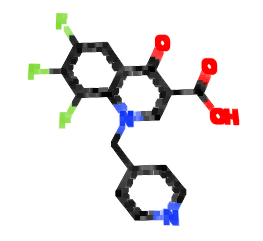 O=C(O)c1cn(Cc2ccncc2)c2c(F)c(F)c(F)cc2c1=O